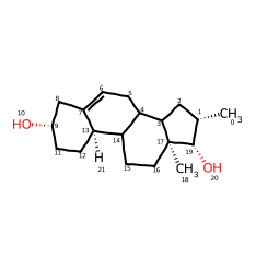 C[C@H]1CC2C3CC=C4C[C@@H](O)CC[C@@H]4C3CC[C@]2(C)[C@H]1O